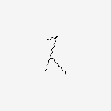 C=C(CCC)CCCCCC=C(CCCCC)CCCCCCCC